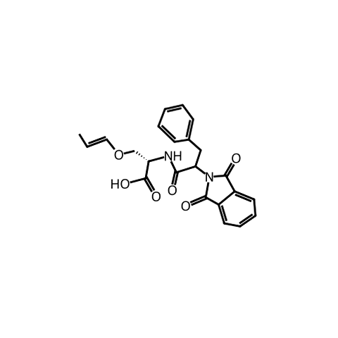 CC=COC[C@H](NC(=O)C(Cc1ccccc1)N1C(=O)c2ccccc2C1=O)C(=O)O